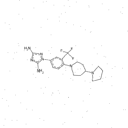 Nc1nc(N)n(-c2ccc(N3CCC(N4CCCC4)CC3)c(C(F)(F)F)c2)n1